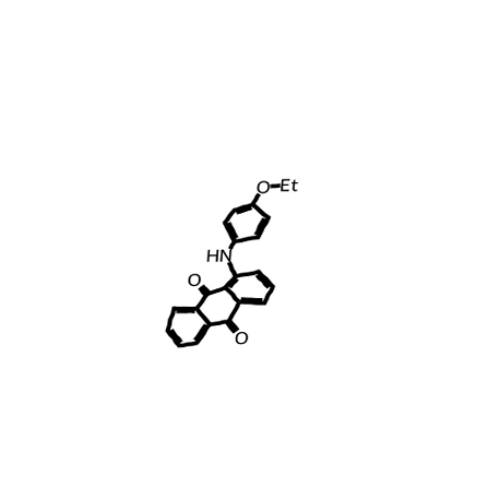 CCOc1ccc(Nc2cccc3c2C(=O)c2ccccc2C3=O)cc1